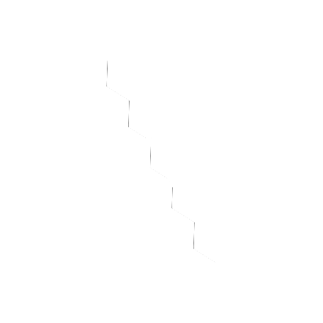 CCCCO[CH]OCCCC